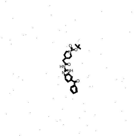 CC(C)(C)OC(=O)N1CCC(CC(=O)Nc2nc3ccc(C(=O)c4ccccc4)cc3[nH]2)CC1